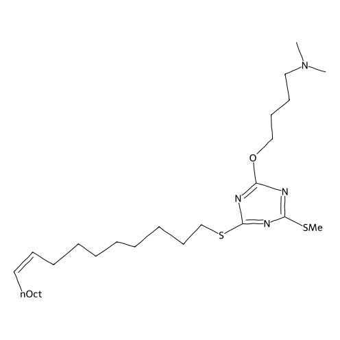 CCCCCCCC/C=C\CCCCCCCCSc1nc(OCCCCN(C)C)nc(SC)n1